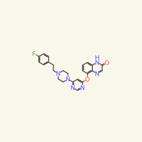 O=c1cnc2c(Oc3cc(N4CCN(CCc5ccc(F)cc5)CC4)ncn3)cccc2[nH]1